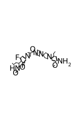 CCCC(C(=O)NC=O)c1c(F)cc(N2CC(C(=O)N3CCN(C4CCN(c5cc(OC)c(N)cc5CC)CC4)CC3)C2)cc1F